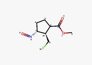 COC(=O)C1CC[C@@H](N=O)[C@@H]1CF